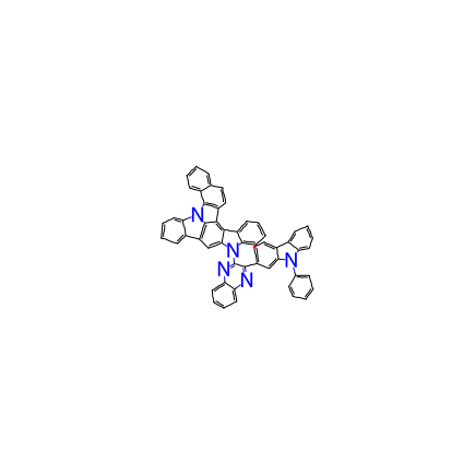 c1ccc(-n2c3ccccc3c3ccc(-c4nc5ccccc5nc4-n4c5ccccc5c5c6c7ccc8ccccc8c7n7c8ccccc8c(cc54)c67)cc32)cc1